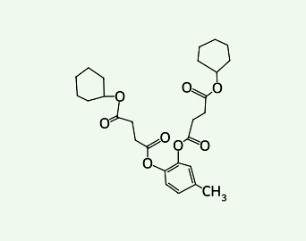 Cc1ccc(OC(=O)CCC(=O)OC2CCCCC2)c(OC(=O)CCC(=O)OC2CCCCC2)c1